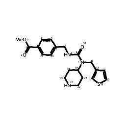 COC(=O)c1ccc(CNC(=O)N(Cc2ccsc2)C2CCNCC2)cc1